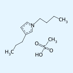 CCCCn1ccc(CCC)c1.CS(=O)(=O)O